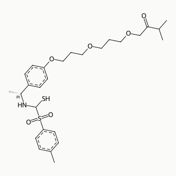 Cc1ccc(S(=O)(=O)C(S)N[C@H](C)c2ccc(OCCCOCCCOCC(=O)C(C)C)cc2)cc1